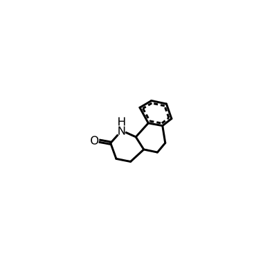 O=C1CCC2CCc3ccccc3C2N1